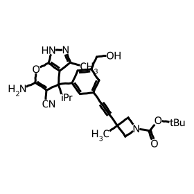 Cc1n[nH]c2c1C(c1cc(C#CC3(C)CN(C(=O)OC(C)(C)C)C3)cc(CO)c1)(C(C)C)C(C#N)=C(N)O2